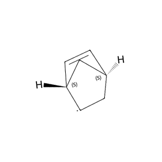 [CH]1C[C@@H]2C=C[C@@H]1C2